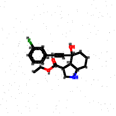 CCOC(=O)C1CNC2CCCC(O)(C#Cc3cccc(F)c3)C21